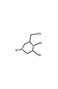 CC(C)C1CN(C(C)C)CC(CC#N)N1C(C)C